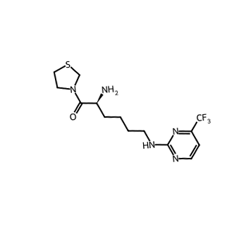 N[C@@H](CCCCNc1nccc(C(F)(F)F)n1)C(=O)N1CCSC1